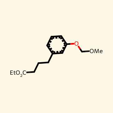 CCOC(=O)CCCc1cccc(OCOC)c1